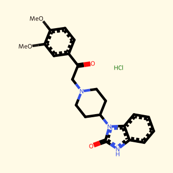 COc1ccc(C(=O)CN2CCC(n3c(=O)[nH]c4ccccc43)CC2)cc1OC.Cl